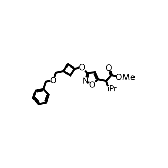 COC(=O)C(c1cc(OC2CC(COCc3ccccc3)C2)no1)C(C)C